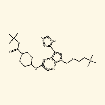 CC(C)(C)OC(=O)N1CCC(Oc2cnc3c(n2)c(-c2nnc[nH]2)cn3COCC[Si](C)(C)C)CC1